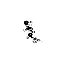 CCc1ccc(Nc2ncc3c(Nc4c(C)cccc4C)nn(C)c3n2)cc1CNC(=O)CN(C)C